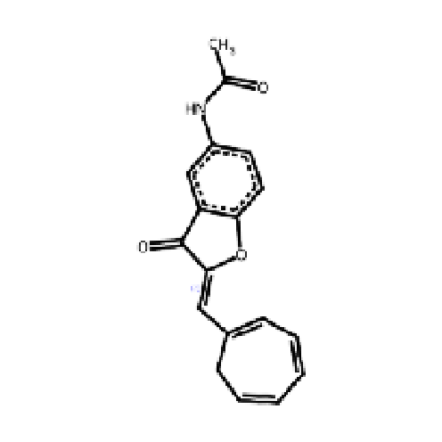 CC(=O)Nc1ccc2c(c1)C(=O)/C(=C/C1=CC=CC=CC1)O2